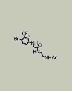 CC(=O)NCCNC(=O)CNc1ccc(Br)c(C(F)(F)F)c1